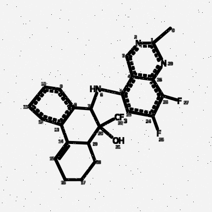 Cc1ncc2c(NC3c4ccccc4C4=CCCCC4C3(O)C(F)(F)F)cc(F)c(F)c2n1